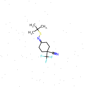 CC(C)(C)SN=C1CCC(C#N)(C(F)(F)F)CC1